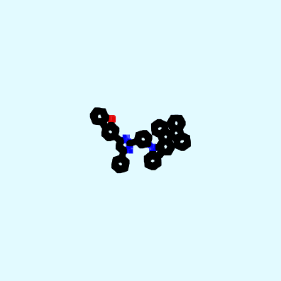 c1ccc(-c2cc(-c3ccc4c(c3)oc3ccccc34)nc(-c3cccc(-n4c5ccccc5c5ccc6c(c54)-c4ccccc4C64c5ccccc5-c5ccccc54)c3)n2)cc1